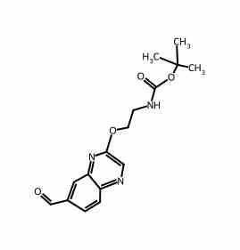 CC(C)(C)OC(=O)NCCOc1cnc2ccc(C=O)cc2n1